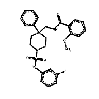 COc1ccccc1C(=O)NCC1(c2ccccc2)CCN(S(=O)(=O)Nc2cccc(F)c2)CC1